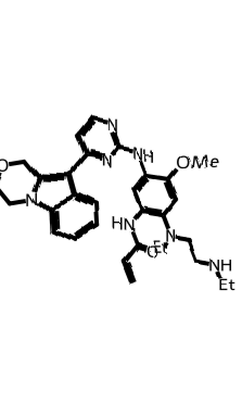 C=CC(=O)Nc1cc(Nc2nccc(-c3c4n(c5ccccc35)CCOC4)n2)c(OC)cc1N(CC)CCNCC